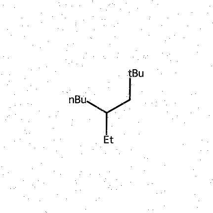 [CH2]C(C)(C)CC(CC)CCCC